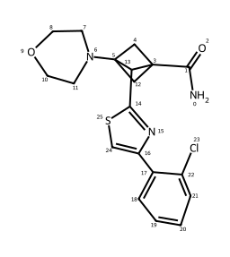 NC(=O)C12CC(N3CCOCC3)(C1)C2c1nc(-c2ccccc2Cl)cs1